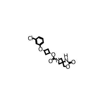 O=C1NC2(CO1)CN(C(=O)O[C@H]1C[C@@H](Oc3cccc(Cl)c3)C1)C2